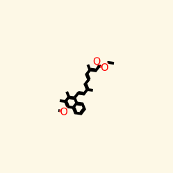 CCOC(=O)C=C(C)C=CC=C(C)C=Cc1c(C)c(C)c(OC)c2ccccc12